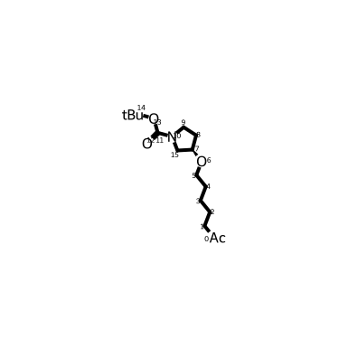 CC(=O)CCCCCO[C@@H]1CCN(C(=O)OC(C)(C)C)C1